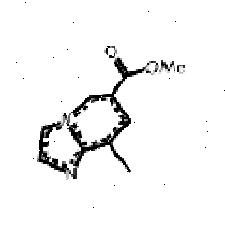 COC(=O)c1cc(C)c2nccn2c1